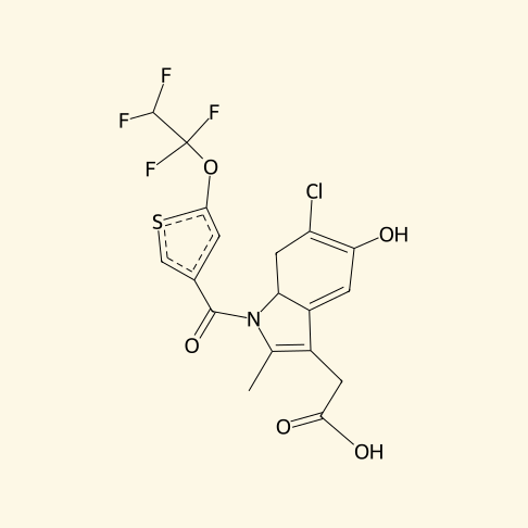 CC1=C(CC(=O)O)C2=CC(O)=C(Cl)CC2N1C(=O)c1csc(OC(F)(F)C(F)F)c1